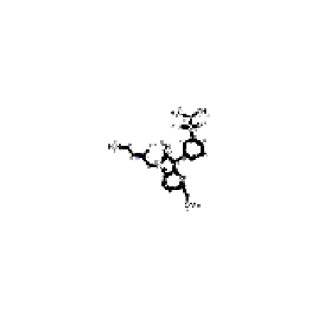 COCc1ccc2c(n1)c(-c1cccc(S(=O)(=O)N(C)C)c1)c(C)n2C/C(F)=C/CN